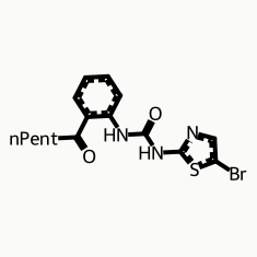 CCCCCC(=O)c1ccccc1NC(=O)Nc1ncc(Br)s1